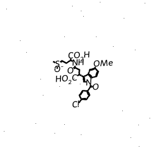 COc1ccc2c(c1)c(C(CC(=O)NC(CC[S+](C)[O-])C(=O)O)C(=O)O)cn2C(=O)c1ccc(Cl)cc1